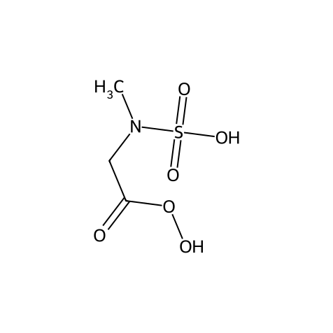 CN(CC(=O)OO)S(=O)(=O)O